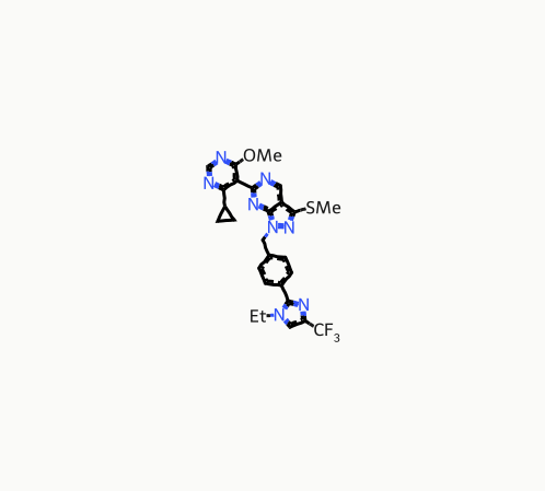 CCn1cc(C(F)(F)F)nc1-c1ccc(Cn2nc(SC)c3cnc(-c4c(OC)ncnc4C4CC4)nc32)cc1